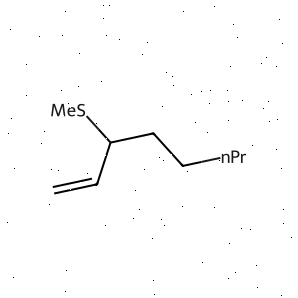 [CH2]CCCCC(C=C)SC